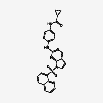 O=C(Nc1ccc(Nc2ncc3ccn(S(=O)(=O)c4cccc5cccnc45)c3n2)cc1)C1CC1